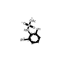 CC(=O)OS(=O)(=O)Nc1c(C(C)C)cccc1C(C)C